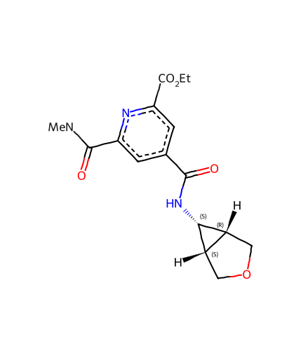 CCOC(=O)c1cc(C(=O)N[C@@H]2[C@@H]3COC[C@@H]32)cc(C(=O)NC)n1